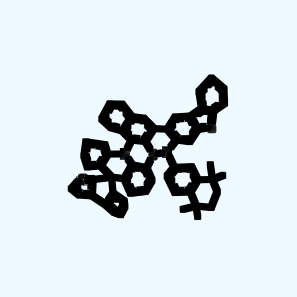 CC1(C)CCC(C)(C)c2cc(N3B4c5cccc6c5N(c5ccccc5C65c6ccccc6-c6ccccc65)c5c4c(cc4ccccc54)-c4cc5c(cc43)sc3ccccc35)ccc21